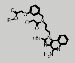 CCCCc1nc2c(N)nc3ccccc3c2n1CCCN(Cc1cccc(OCC(=O)OC(C)C)c1)C(=O)CCl